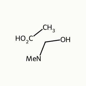 CC(=O)O.CNCO